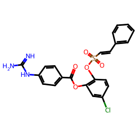 N=C(N)Nc1ccc(C(=O)Oc2cc(Cl)ccc2OS(=O)(=O)/C=C/c2ccccc2)cc1